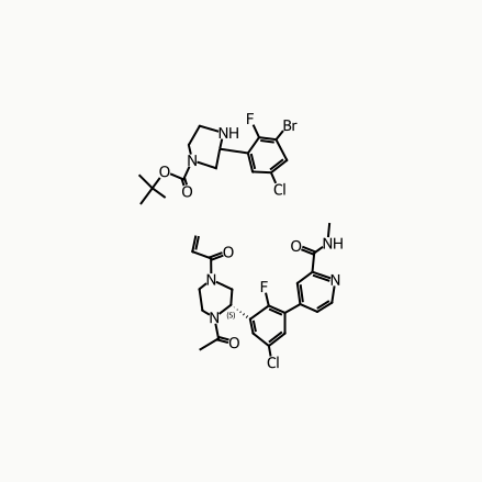 C=CC(=O)N1CCN(C(C)=O)[C@@H](c2cc(Cl)cc(-c3ccnc(C(=O)NC)c3)c2F)C1.CC(C)(C)OC(=O)N1CCNC(c2cc(Cl)cc(Br)c2F)C1